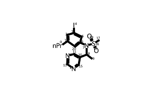 CCCc1cc(I)cc(N(C(C)c2cncnc2)S(C)(=O)=O)c1